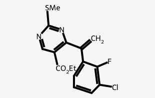 C=C(c1cccc(Cl)c1F)c1nc(SC)ncc1C(=O)OCC